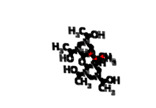 CC(O)N1CN(C(C)O)C(OC2N(C(C)O)CN(C(C)O)CN2C(C)O)N(C(C)O)C1